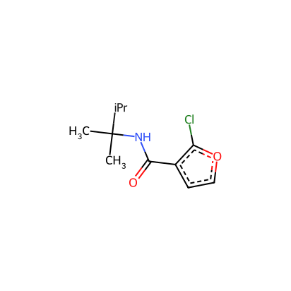 CC(C)C(C)(C)NC(=O)c1ccoc1Cl